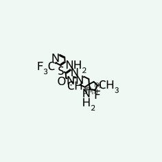 C[C@@H]1CC2(CCN(c3nc(N)c(Sc4cccnc4C(F)(F)F)c(=O)n3C)CC2)[C@@H](N)[C@H]1F